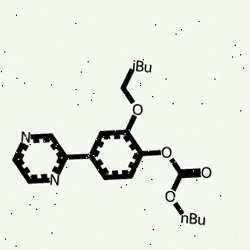 CCCCOC(=O)Oc1ccc(-c2cnccn2)cc1OCC(C)CC